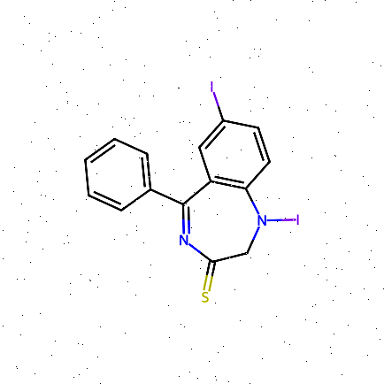 S=C1CN(I)c2ccc(I)cc2C(c2ccccc2)=N1